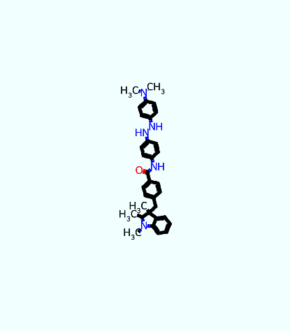 CC1N(C)c2ccccc2C1(C)Cc1ccc(C(=O)Nc2ccc(NNc3ccc(N(C)C)cc3)cc2)cc1